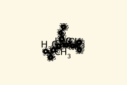 Cc1cc(N(c2ccccc2)c2ccccc2)ccc1-c1ccc(N(c2ccc(-c3ccc(-c4ccccc4)s3)cc2)c2ccc3c(c2)C(C)(C)c2cc(N(c4ccccc4)c4ccccc4)ccc2-3)cc1C